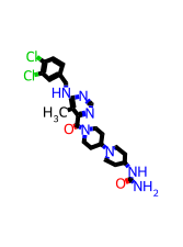 Cc1c(NCc2ccc(Cl)c(Cl)c2)ncnc1C(=O)N1CCC(N2CCC(NC(N)=O)CC2)CC1